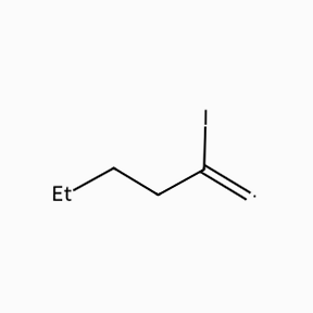 [CH]=C(I)CCCC